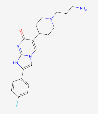 NCCCN1CCC(c2cn3cc(-c4ccc(F)cc4)[nH]c3nc2=O)CC1